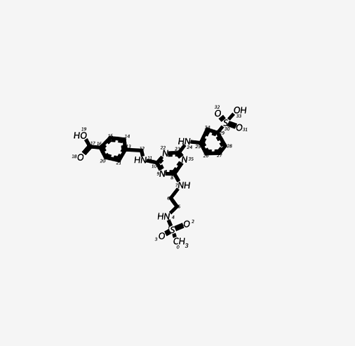 CS(=O)(=O)NCCNc1nc(NCc2ccc(C(=O)O)cc2)nc(Nc2cccc(S(=O)(=O)O)c2)n1